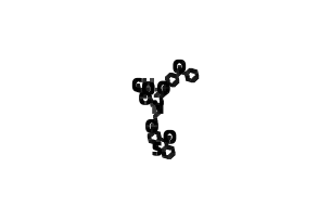 C=CC(=O)OCCN(CCCOc1ccc(C(=O)c2ccccc2)cc1)CCCOc1ccc2sc3ccccc3c(=O)c2c1